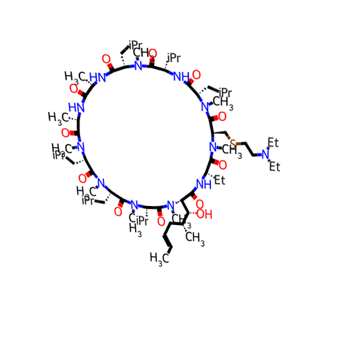 C/C=C/C[C@@H](C)[C@@H](O)[C@H]1C(=O)N[C@@H](CC)C(=O)N(C)[C@H](CSCCN(CC)CC)C(=O)N(C)[C@@H](CC(C)C)C(=O)N[C@@H](C(C)C)C(=O)N(C)[C@@H](CC(C)C)C(=O)N[C@@H](C)C(=O)N[C@@H](C)C(=O)N(C)[C@@H](CC(C)C)C(=O)N(C)[C@@H](CC(C)C)C(=O)N(C)[C@@H](C(C)C)C(=O)N1C